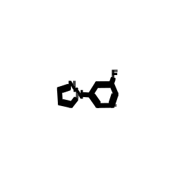 Fc1c[c]cc(-n2cccn2)c1